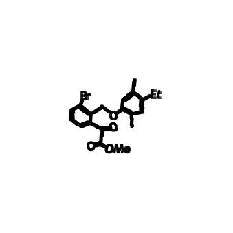 CCc1cc(C)c(OCc2c(Br)cccc2C(=O)C(=O)OC)cc1C